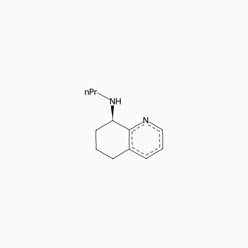 CCCN[C@@H]1CCCc2cccnc21